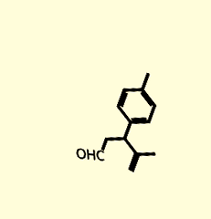 C=C(C)C(CC=O)c1ccc(C)cc1